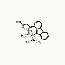 CC(CNC(C)(C)C)=c1cccc2c1=[C]([Mo]([N](C)C)[N](C)C)c1ccccc1-2